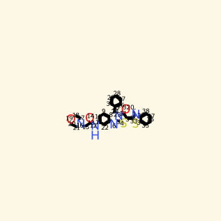 CN1C(=C2SC(=Nc3cccc(NC(=O)CN4CCOCC4)c3)N(Cc3ccccc3)C2=O)Sc2ccccc21